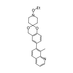 CCON1CCC2(CC1)OCc1cc(-c3ccc4cccnc4c3C)ccc1O2